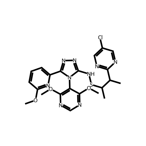 COc1cccc(-c2nnc(NSC(C)C(C)c3ncc(Cl)cn3)n2-c2c(OC)ncnc2OC)n1